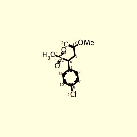 COC(=O)CC(c1ccc(Cl)cc1)S(C)(=O)=O